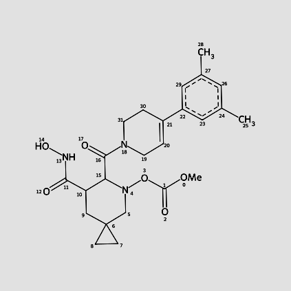 COC(=O)ON1CC2(CC2)CC(C(=O)NO)C1C(=O)N1CC=C(c2cc(C)cc(C)c2)CC1